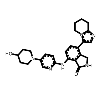 O=C1NCc2c(-c3cnc4n3CCCC4)ccc(Nc3ccc(N4CCC(O)CC4)cn3)c21